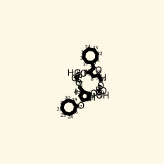 O=P1(O)OC[C@@H]2C[C@@H](OP(=O)(O)OC[C@H]3C[C@@H](OC4CCCCCCC4)C[C@@H]3O1)C(C1CCCCCCC1)O2